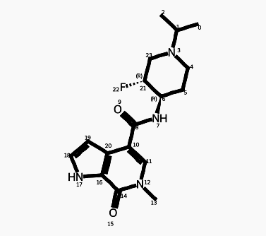 CC(C)N1CC[C@@H](NC(=O)c2cn(C)c(=O)c3[nH]ccc23)[C@H](F)C1